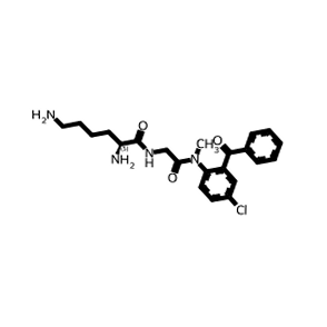 CN(C(=O)CNC(=O)[C@@H](N)CCCCN)c1ccc(Cl)cc1C(=O)c1ccccc1